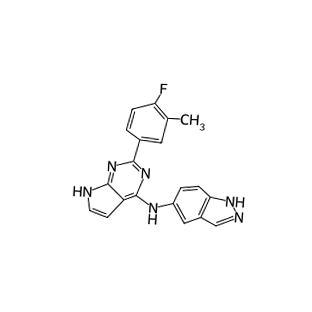 Cc1cc(-c2nc(Nc3ccc4[nH]ncc4c3)c3cc[nH]c3n2)ccc1F